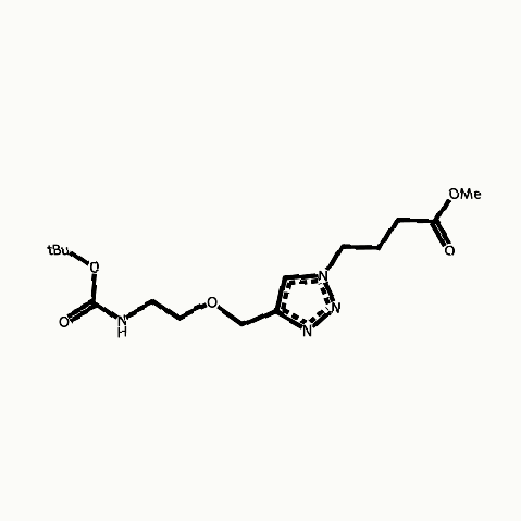 COC(=O)CCCn1cc(COCCNC(=O)OC(C)(C)C)nn1